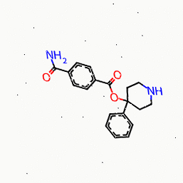 NC(=O)c1ccc(C(=O)OC2(c3ccccc3)CCNCC2)cc1